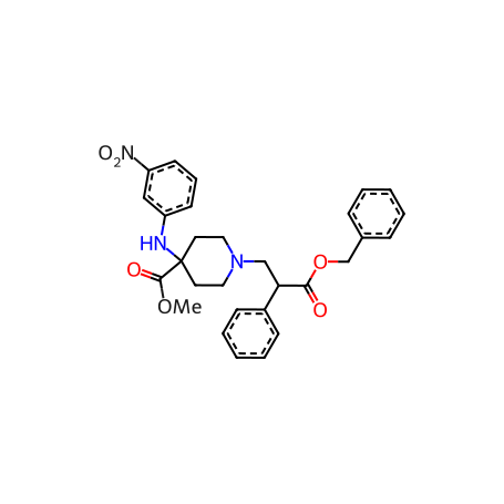 COC(=O)C1(Nc2cccc([N+](=O)[O-])c2)CCN(CC(C(=O)OCc2ccccc2)c2ccccc2)CC1